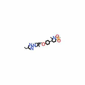 CCc1cnc(N2CC3[C@@H](COc4ccc(-c5ccc(S(C)(=O)=O)nc5C)cc4)[C@]3(C)C2)nc1